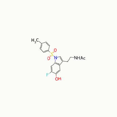 CC(=O)NCCc1cn(S(=O)(=O)c2ccc(C)cc2)c2cc(F)c(O)cc12